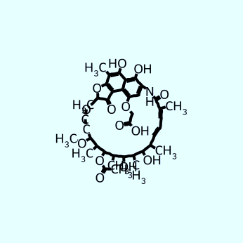 COC1CCOC2(C)Oc3c(C)c(O)c4c(O)c(cc(OCC(=O)O)c4c3C2=O)NC(=O)/C(C)=C\C=C\C(C)C(O)C(C)C(O)C(C)C(OC(C)=O)C1C